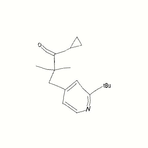 CC(C)(Cc1ccnc(C(C)(C)C)c1)C(=O)C1CC1